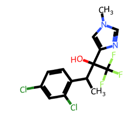 CC(c1ccc(Cl)cc1Cl)C(O)(c1cn(C)cn1)C(F)(F)F